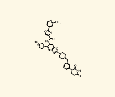 Cc1cc(-c2nc(C(=O)Nc3cc4oc(N5CCN(Cc6cccc(C7CCC(=O)NC7=O)c6)CC5)nc4nc3N3CC[C@@H](O)C3)co2)ccn1